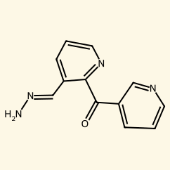 NN=Cc1cccnc1C(=O)c1cccnc1